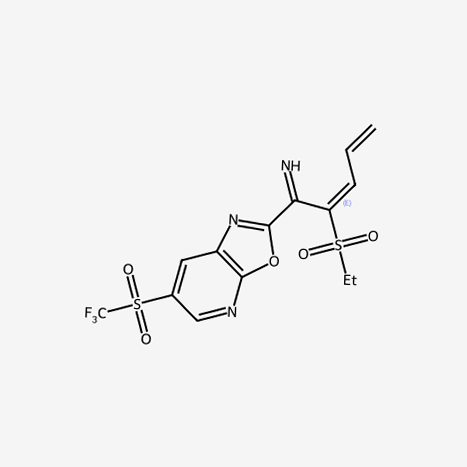 C=C/C=C(\C(=N)c1nc2cc(S(=O)(=O)C(F)(F)F)cnc2o1)S(=O)(=O)CC